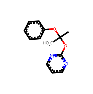 CC(Oc1ccccc1)(Oc1ncccn1)C(=O)O